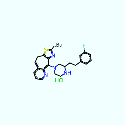 CC(C)(C)c1nc2c(s1)CC=c1cccnc1=C2N1CCNC(CCc2cccc(F)c2)C1.Cl